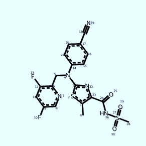 Cc1sc(N(Cc2ncc(F)cc2F)c2ccc(C#N)cc2)nc1C(=O)NS(C)(=O)=O